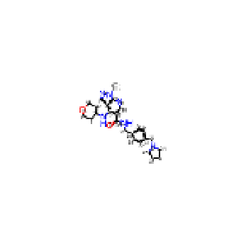 CCn1ncc2c(NC3CCOCC3)c(C(=O)NCc3ccc(CN4CCCC4)cc3)cnc21